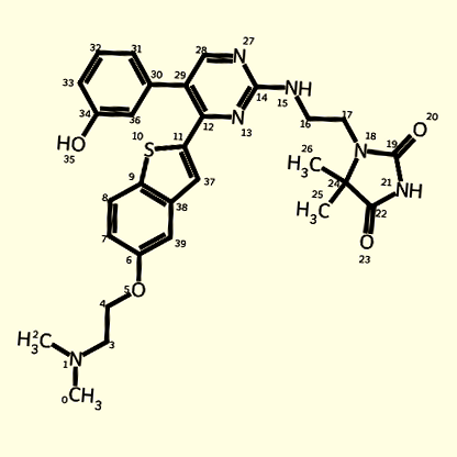 CN(C)CCOc1ccc2sc(-c3nc(NCCN4C(=O)NC(=O)C4(C)C)ncc3-c3cccc(O)c3)cc2c1